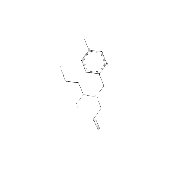 C=CCN(Cc1ccc(C)cc1)C(C)CCC